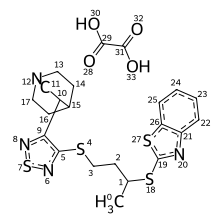 CC(CCSc1nsnc1C1CN2CCC1CC2)Sc1nc2ccccc2s1.O=C(O)C(=O)O